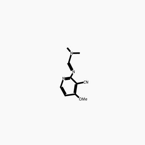 COc1ccnc(/N=C/N(C)C)c1C#N